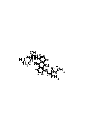 CCN(CC)C(C)CNc1cccc2c1C(=O)c1cccc(NCC(C)N(CC)CC)c1C2=O